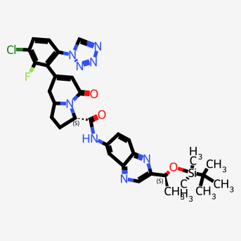 C[C@H](O[Si](C)(C)C(C)(C)C)c1cnc2cc(NC(=O)[C@@H]3CCC4CC(c5c(-n6cnnn6)ccc(Cl)c5F)=CC(=O)N43)ccc2n1